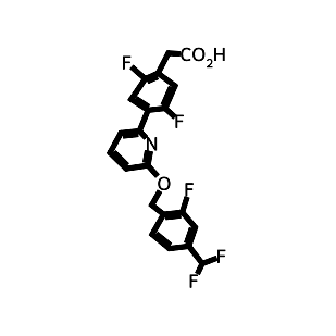 O=C(O)Cc1cc(F)c(-c2cccc(OCc3ccc(C(F)F)cc3F)n2)cc1F